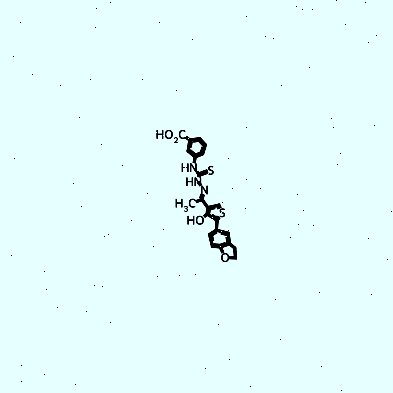 C/C(=N\NC(=S)Nc1cccc(C(=O)O)c1)c1csc(-c2ccc3c(c2)CCO3)c1O